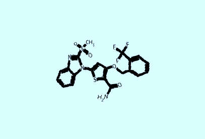 CS(=O)(=O)c1nc2ccccc2n1-c1cc(OCc2ccccc2C(F)(F)F)c(C(N)=O)s1